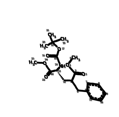 COC(=O)C(Cc1ccccc1)C[C@@H](NC(=O)OC(C)(C)C)C(=O)OC